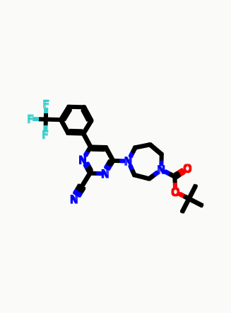 CC(C)(C)OC(=O)N1CCCN(c2cc(-c3cccc(C(F)(F)F)c3)nc(C#N)n2)CC1